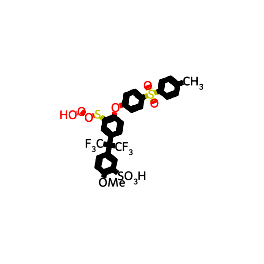 COc1ccc(C(c2ccc(Oc3ccc(S(=O)(=O)c4ccc(C)cc4)cc3)c(SOOO)c2)(C(F)(F)F)C(F)(F)F)cc1S(=O)(=O)O